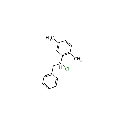 Cc1ccc(C)c([SiH](Cl)Cc2ccccc2)c1